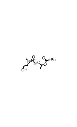 CC(ON=[N+]([O-])N(C)CCO)OC(=O)C(C)(C)C